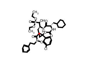 CCOP(=O)(OCC)C(O)[C@H](CCC(=O)N(C)CCc1ccccc1)NC(=O)[C@H](CC1CCCCC1)NC(=O)OC1(c2cccc(Cl)c2)CC1